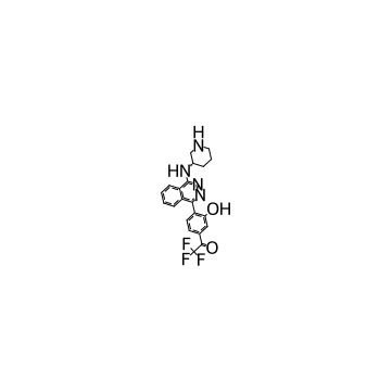 O=C(c1ccc(-c2nnc(N[C@@H]3CCCNC3)c3ccccc23)c(O)c1)C(F)(F)F